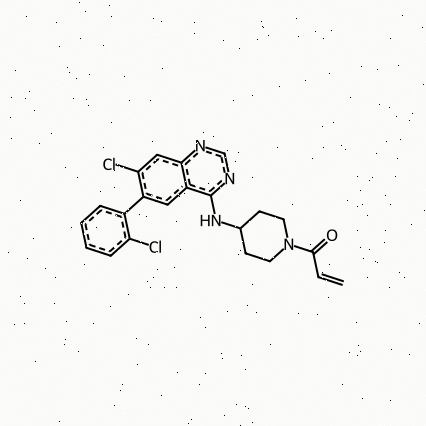 C=CC(=O)N1CCC(Nc2ncnc3cc(Cl)c(-c4ccccc4Cl)cc23)CC1